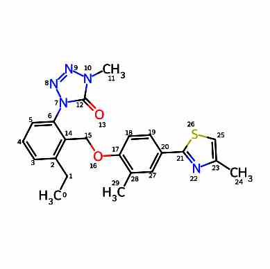 CCc1cccc(-n2nnn(C)c2=O)c1COc1ccc(-c2nc(C)cs2)cc1C